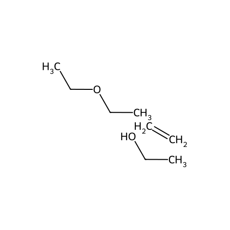 C=C.CCO.CCOCC